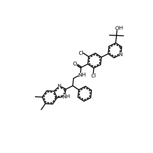 Cc1cc2nc(C(CNC(=O)c3c(Cl)cc(-c4cncc(C(C)(C)O)c4)cc3Cl)c3ccccc3)[nH]c2cc1C